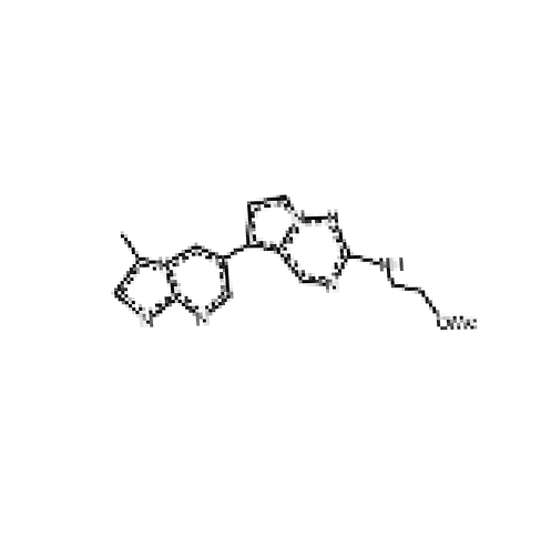 COCCNc1ncc2c(-c3cnc4ncc(C)n4c3)ccn2n1